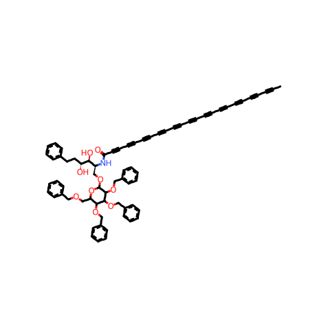 CC#CC#CC#CC#CC#CC#CC#CC#CC#CC#CC#CC(=O)N[C@@H](COC1OC(COCc2ccccc2)C(OCc2ccccc2)C(OCc2ccccc2)C1OCc1ccccc1)[C@H](O)[C@H](O)CCc1ccccc1